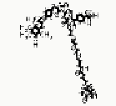 Cc1c(C)c2c(c(C)c1O)CCC(C)(COc1ccc(CC3SC(=O)N(C(=O)C[C@@H](NC(=O)c4ccc(C5(C(F)(F)F)NN5)cc4)C(=O)NCCCOCCOCCOCCCNC(=O)CCCC[C@@H]4SC[C@@H]5NC(=O)N[C@@H]54)C3=O)cc1)O2